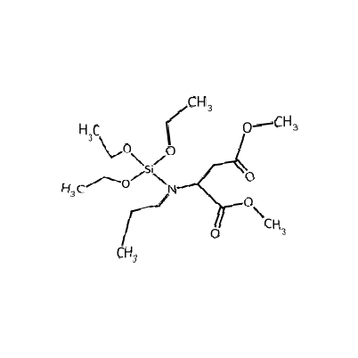 CCCN(C(CC(=O)OC)C(=O)OC)[Si](OCC)(OCC)OCC